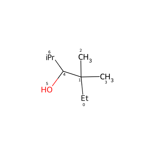 CCC(C)(C)C(O)C(C)C